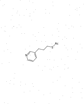 CC(=O)SCCCc1cc[c]nc1